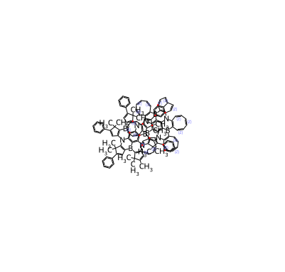 CC1=CC2=C(B3C4=C(N5C6=C(B7C8=C(N9C%10=C(B%11C%12=C(N2c2c3c5c7c9c2%11)C(C)(C)C(c2ccccc2)=C%12)C(C)(C)C(c2ccc(C3=C\C=C/C5=C(/C=C\3)N3C7=C(\C=C/C=C\C=C/7)B7C9=C(\C=C/C=C\C=C/9)N9C%11=C(\C=C/C=C\C=C/%11)B%11C%12=C(\C=C/C=C\C=C/%12)N%12C%13=C(\C=C/C=C\C=C/%13)B5c5c%12c%11c9c7c53)cc2)=C%10)C(C)(C)C(c2ccccc2)=C8)C(C)(C)C(c2ccccc2)=C6)C(C)(C)C(c2ccccc2)=C4)C1(C)C